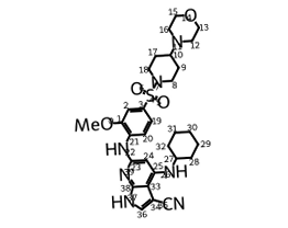 COc1cc(S(=O)(=O)N2CCC(N3CCOCC3)CC2)ccc1Nc1cc(NC2CCCCC2)c2c(C#N)c[nH]c2n1